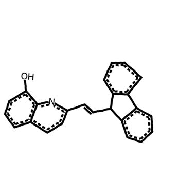 Oc1cccc2ccc(C=CC3c4ccccc4-c4ccccc43)nc12